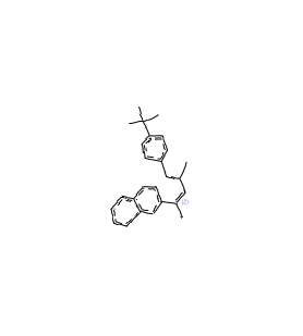 C/C(=C/C(C)Cc1ccc(C(C)(C)C)cc1)c1ccc2ccccc2c1